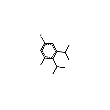 Cc1cc(F)cc(C(C)C)c1C(C)C